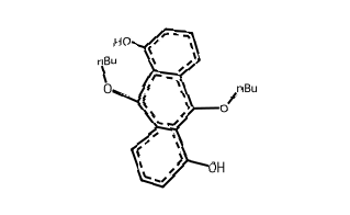 CCCCOc1c2cccc(O)c2c(OCCCC)c2cccc(O)c12